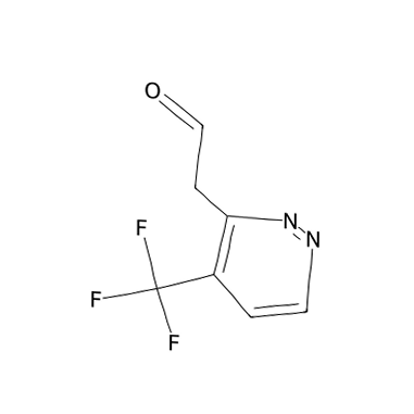 O=CCc1nnccc1C(F)(F)F